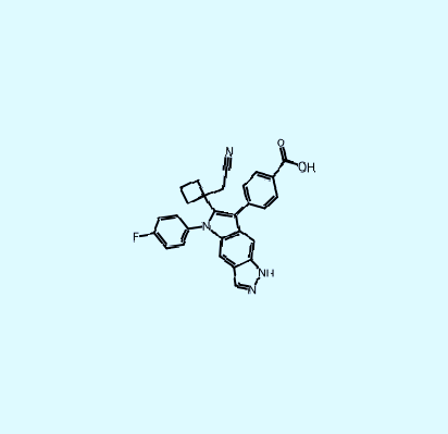 N#CCC1(c2c(-c3ccc(C(=O)O)cc3)c3cc4[nH]ncc4cc3n2-c2ccc(F)cc2)CCC1